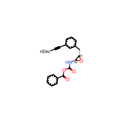 CCCCCCCCCCC#Cc1cccc(C[C@@H]2O[C@H]2NC(=O)OC(=O)c2ccccc2)c1